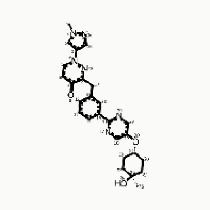 Cn1cc(-n2ccc(=O)c(Cc3cccc(-c4ncc(O[C@H]5CC[C@](C)(O)CC5)cn4)c3)n2)cn1